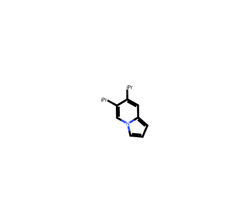 CC(C)c1cc2cccn2cc1C(C)C